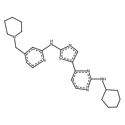 c1cc(CN2CCCCC2)cc(Nc2ncc(-c3ccnc(NC4CCCCC4)n3)s2)n1